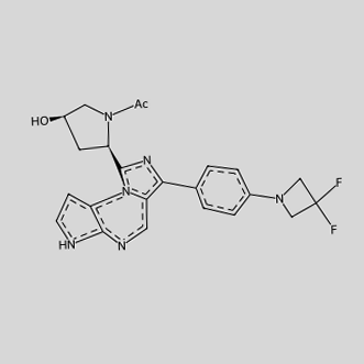 CC(=O)N1C[C@H](O)C[C@@H]1c1nc(-c2ccc(N3CC(F)(F)C3)cc2)c2cnc3[nH]ccc3n12